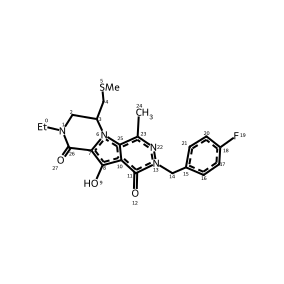 CCN1CC(CSC)n2c(c(O)c3c(=O)n(Cc4ccc(F)cc4)nc(C)c32)C1=O